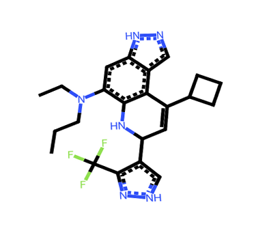 CCCN(CC)c1cc2[nH]ncc2c2c1NC(c1c[nH]nc1C(F)(F)F)C=C2C1CCC1